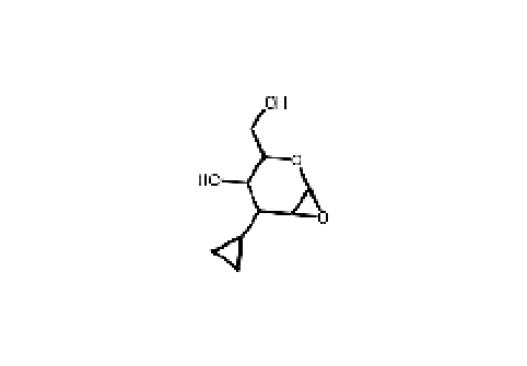 OCC1OC2OC2C(C2CC2)C1O